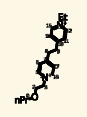 CCCOCC[n+]1ccc(CCc2cc[n+](CC)cc2)cc1